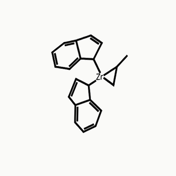 C[CH]1[CH2][Zr]1([CH]1C=Cc2ccccc21)[CH]1C=Cc2ccccc21